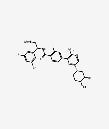 CNCC(NC(=O)c1ccc(-c2nc([C@H]3CC[C@H](O)[C@H](F)C3)cnc2N)cc1F)c1cc(F)cc(Br)c1